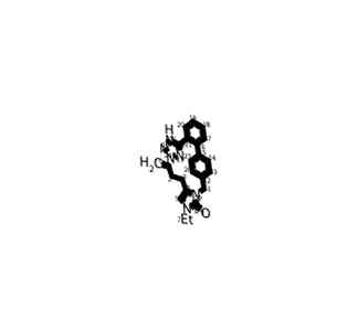 C=CCCc1cn(CC)c(=O)n1Cc1ccc(-c2ccccc2-c2nnn[nH]2)cc1